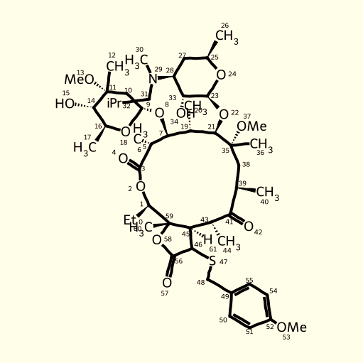 CC[C@H]1OC(=O)[C@H](C)[C@@H](O[C@H]2C[C@@](C)(OC)[C@@H](O)[C@H](C)O2)[C@H](C)[C@@H](O[C@@H]2O[C@H](C)C[C@H](N(C)CC(C)C)[C@H]2O)[C@](C)(OC)C[C@@H](C)C(=O)[C@H](C)[C@H]2C(SCc3ccc(OC)cc3)C(=O)O[C@@]21C